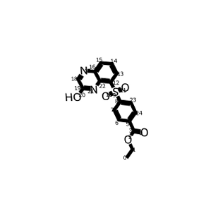 CCOC(=O)c1ccc(S(=O)(=O)c2cccc3ncc(O)nc23)cc1